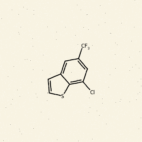 FC(F)(F)c1cc(Cl)c2s[c]cc2c1